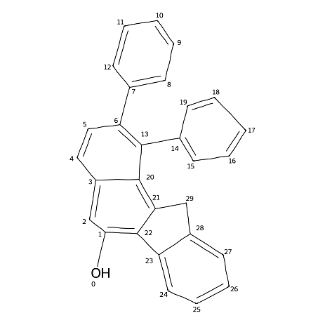 Oc1cc2ccc(-c3ccccc3)c(-c3ccccc3)c2c2c1-c1ccccc1C2